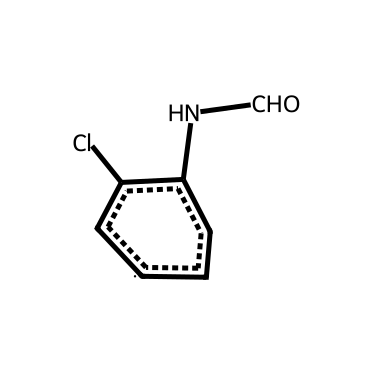 O=CNc1cc[c]cc1Cl